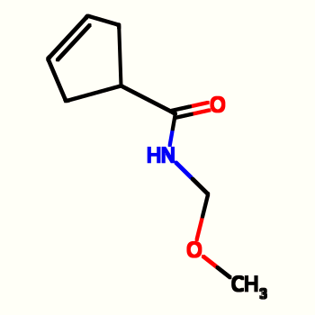 COCNC(=O)C1CC=CC1